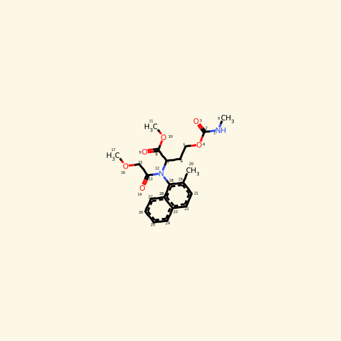 CNC(=O)OCCC(C(=O)OC)N(C(=O)COC)c1c(C)ccc2ccccc12